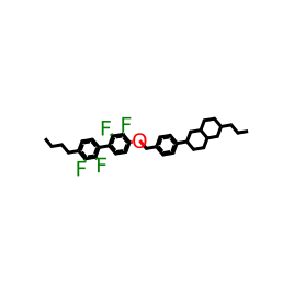 CCCCc1ccc(-c2ccc(OCc3ccc(C4CCC5CC(CCC)CCC5C4)cc3)c(F)c2F)c(F)c1F